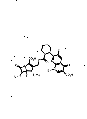 CCn1cc(C(=O)O)c(=O)c2cc(F)c(C3CNCCN3C(=O)OCC3=C(C(=O)O)N4C(=O)[C@H](OC)[C@H]4[C@H]3OC)nc21